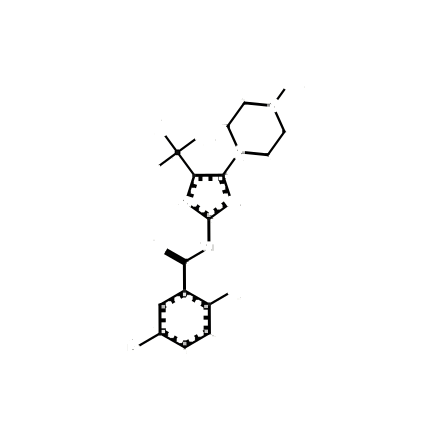 CN1CCN(c2sc(NC(=O)c3cc(Br)ccc3O)nc2C(C)(C)C)CC1